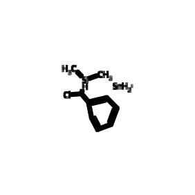 C[SiH](C)C(Cl)c1ccccc1.[SnH2]